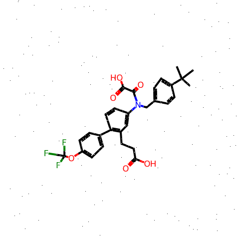 CC(C)(C)c1ccc(CN(C(=O)C(=O)O)c2ccc(-c3ccc(OC(F)(F)F)cc3)c(CCC(=O)O)c2)cc1